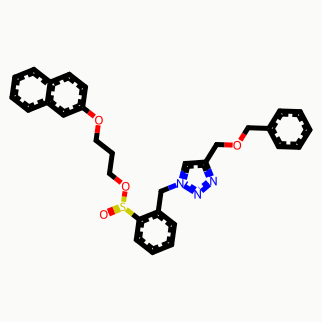 O=S(OCCCOc1ccc2ccccc2c1)c1ccccc1Cn1cc(COCc2ccccc2)nn1